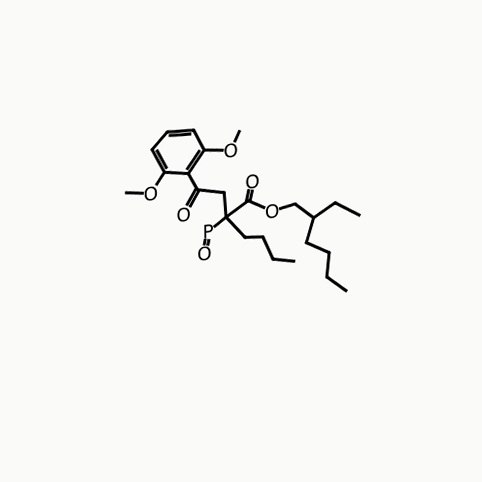 CCCCC(CC)COC(=O)C(CCCC)(CC(=O)c1c(OC)cccc1OC)P=O